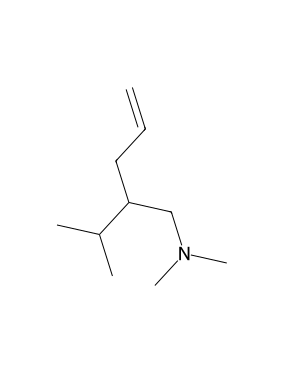 C=CCC(CN(C)C)C(C)C